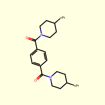 CCCC1CCN(C(=O)c2ccc(C(=O)N3CCC(CCC)CC3)cc2)CC1